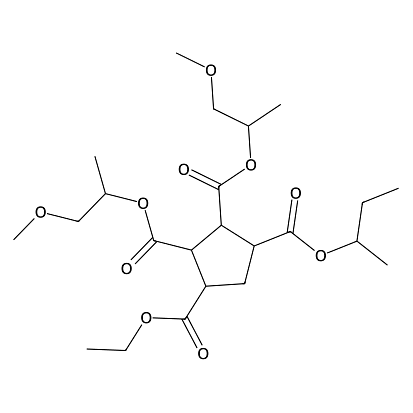 CCOC(=O)C1CC(C(=O)OC(C)CC)C(C(=O)OC(C)COC)C1C(=O)OC(C)COC